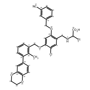 CCC(NCc1cc(Cl)c(OCc2cccc(-c3ccc4c(c3)OCCO4)c2C)cc1OCc1cccc(C#N)c1)C(=O)O